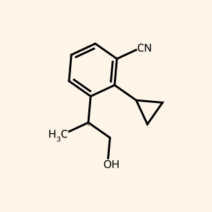 C[C](CO)c1cccc(C#N)c1C1CC1